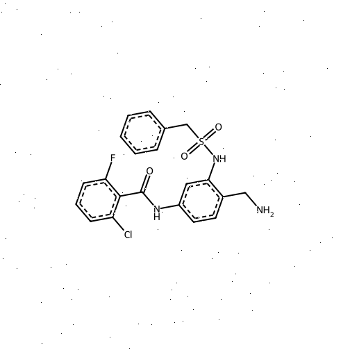 NCc1ccc(NC(=O)c2c(F)cccc2Cl)cc1NS(=O)(=O)Cc1ccccc1